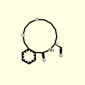 O=C[C@@H]1CCCCOCCOCc2ccccc2C(=O)N1